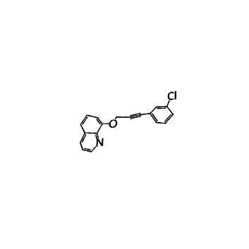 Clc1cccc(C#CCOc2cccc3cccnc23)c1